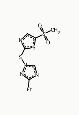 CCc1ncn(Sc2ncc(S(C)(=O)=O)s2)n1